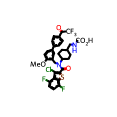 COc1ccc(-c2ccc(C(=O)C(F)(F)F)cc2)cc1CN(C(=O)c1sc2c(F)ccc(F)c2c1Cl)C1CCC(CNC(=O)O)CC1